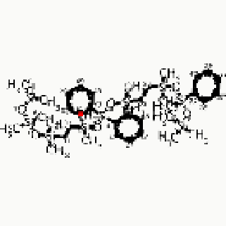 C[SiH](C)O[Si](C)(C)O[Si](C)(C)CC[Si](C)(C)O[Si](O[Si](C)(C)CC[Si](C)(C)O[Si](C)(O[Si](C)(C)C)c1ccccc1)(c1ccccc1)c1ccccc1